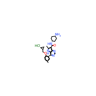 Cc1ccc(OCC2CC2)c(-c2ncnc3c(C(=O)N[C@H]4CC[C@@H](N)CC4)c(C)[nH]c23)c1.Cl